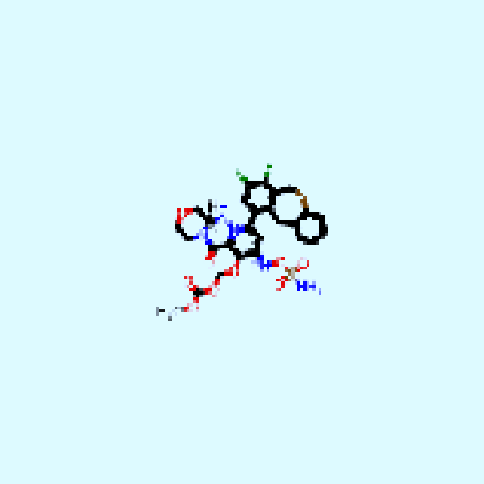 COC(=O)OCOc1c2n(c(-c3cc(F)c(F)c4c3Cc3ccccc3SC4)c/c1=N\OS(N)(=O)=O)N[C@@H]1COCCN1C2=O